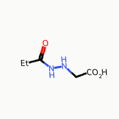 CCC(=O)NNCC(=O)O